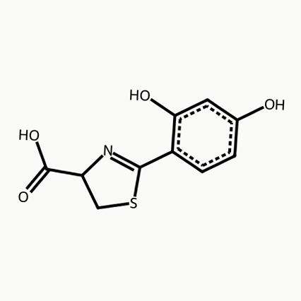 O=C(O)C1CSC(c2ccc(O)cc2O)=N1